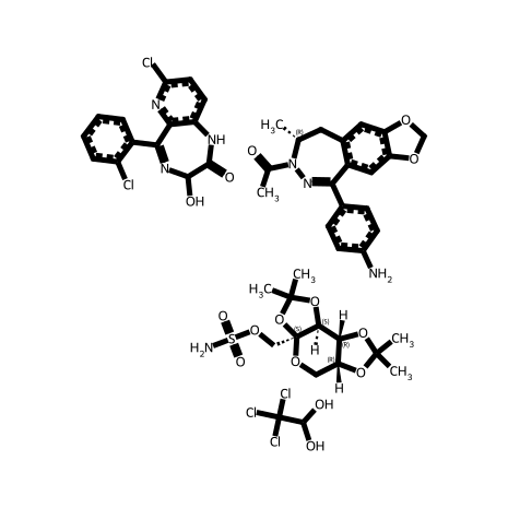 CC(=O)N1N=C(c2ccc(N)cc2)c2cc3c(cc2C[C@H]1C)OCO3.CC1(C)O[C@@H]2[C@@H](CO[C@@]3(COS(N)(=O)=O)OC(C)(C)O[C@@H]23)O1.O=C1Nc2ccc(Cl)nc2C(c2ccccc2Cl)=NC1O.OC(O)C(Cl)(Cl)Cl